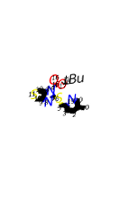 Cc1ccc(CSc2nc3cscc3n2C(=O)OC(C)(C)C)nc1